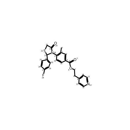 Cc1cc(C(=O)OCCc2ccncc2)ccc1N1C(=O)CSC1c1ccc(F)cc1